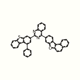 c1ccc(-c2cc(-c3nc(-c4ccc5c(c4)oc4ccc6ccccc6c45)c4ccccc4n3)cc3sc4ccccc4c23)cc1